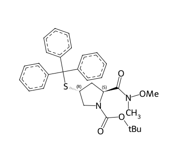 CON(C)C(=O)[C@@H]1C[C@@H](SC(c2ccccc2)(c2ccccc2)c2ccccc2)CN1C(=O)OC(C)(C)C